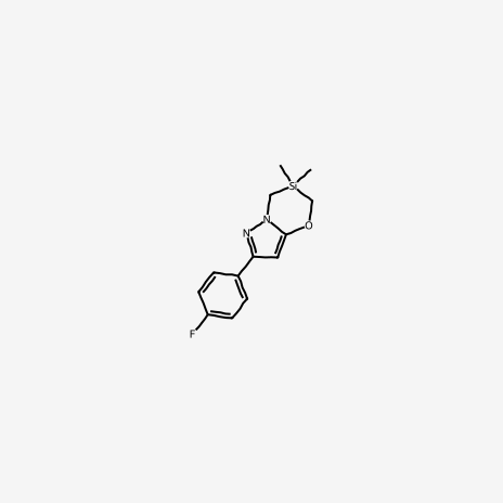 C[Si]1(C)COc2cc(-c3ccc(F)cc3)nn2C1